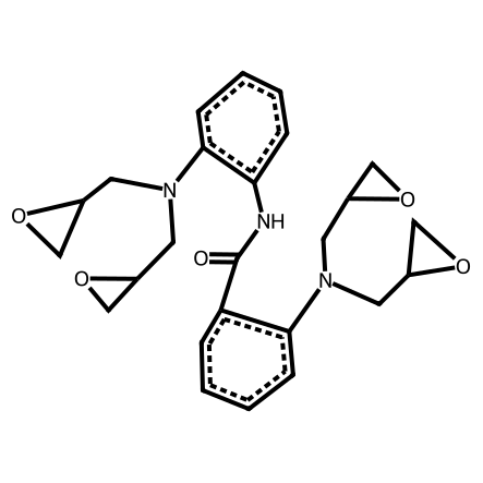 O=C(Nc1ccccc1N(CC1CO1)CC1CO1)c1ccccc1N(CC1CO1)CC1CO1